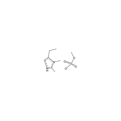 CCc1c[nH]c(C)[n+]1C.COS(=O)(=O)[O-]